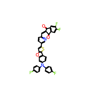 O=C1C(=Cc2ccc(-c3cc4oc5cc(N(c6ccc(F)cc6)c6ccc(F)cc6)ccc5c4s3)cn2)C(=O)c2cc(F)c(F)cc21